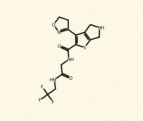 O=C(CNC(=O)c1sc2c(c1C1=NOCC1)CNC2)NCC(F)(F)F